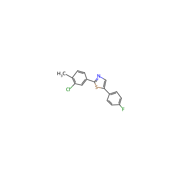 Cc1ccc(-c2ncc(-c3ccc(F)cc3)s2)cc1Cl